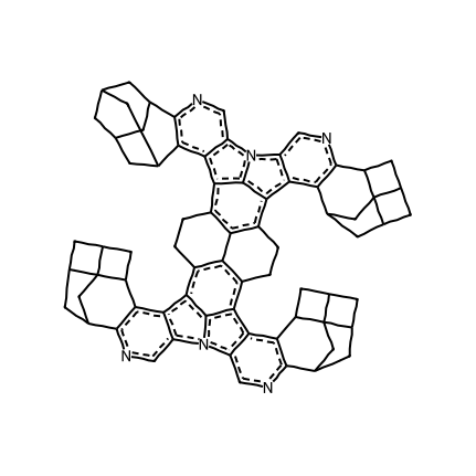 c1nc2c(c3c4c5c6c(c7c8c9c(ncc8n(c13)c47)C1CC3CC4CC9CC431)CCc1c-6c(c3c4c6c(ncc4n4c7cnc8c(c7c1c34)C1CC3CC4CC8CC431)C1CC3CC4CC6C34C1)CC5)C1CC3CC(CC2C3)C1